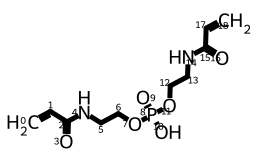 C=CC(=O)NCCOP(=O)(O)OCCNC(=O)C=C